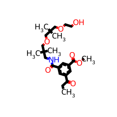 CCC(=O)c1cc(C(=O)NCC(C)(C)COCC(C)(C)COCCO)cc(C(=O)OC)c1